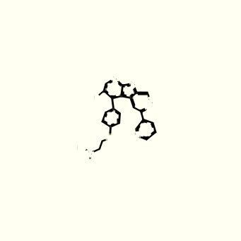 C=C(/C=c1\c(=C/N)[nH]c2ncc(F)c(-c3ccc(OCCN(CC)CC)cc3)c12)c1cccnc1